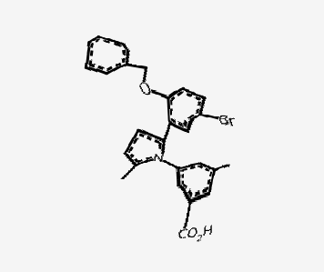 Cc1cc(C(=O)O)cc(-n2c(C)ccc2-c2cc(Br)ccc2OCc2ccccc2)c1